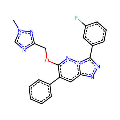 Cn1cnc(COc2nn3c(-c4cccc(F)c4)nnc3cc2-c2ccccc2)n1